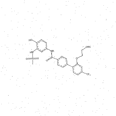 COCCOc1cc(C(F)(F)F)ccc1-c1ccc(C(=O)Nc2ccc(O)c(NS(C)(=O)=O)c2)cc1